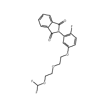 O=C1c2ccccc2C(=O)N1c1cc(OCCOCCOC(F)F)ccc1F